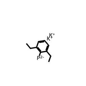 CCc1cccc(CC)c1[P-2].[K+].[K+]